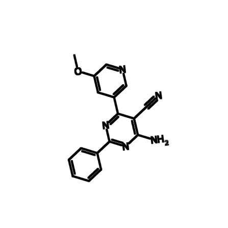 COc1cncc(-c2nc(-c3ccccc3)nc(N)c2C#N)c1